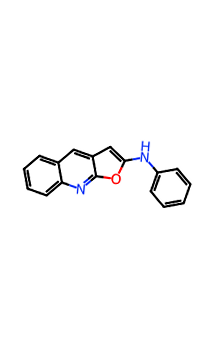 c1ccc(Nc2cc3cc4ccccc4nc3o2)cc1